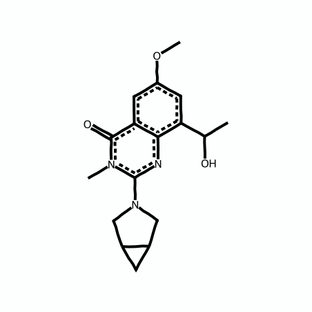 COc1cc(C(C)O)c2nc(N3CC4CC4C3)n(C)c(=O)c2c1